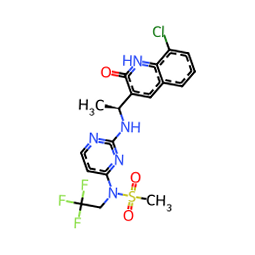 C[C@H](Nc1nccc(N(CC(F)(F)F)S(C)(=O)=O)n1)c1cc2cccc(Cl)c2[nH]c1=O